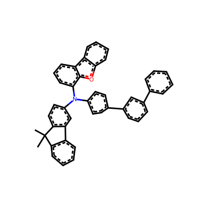 CC1(C)c2ccccc2-c2cc(N(c3ccc(-c4cccc(-c5ccccc5)c4)cc3)c3cccc4c3oc3ccccc34)ccc21